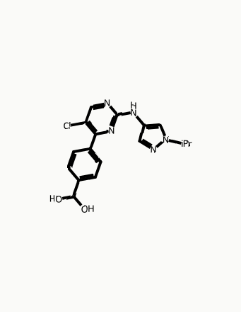 CC(C)n1cc(Nc2ncc(Cl)c(-c3ccc(C(O)O)cc3)n2)cn1